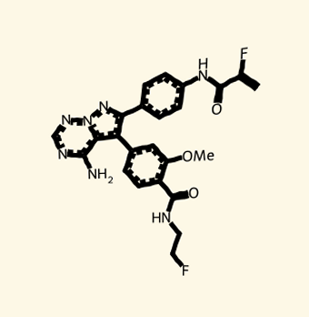 C=C(F)C(=O)Nc1ccc(-c2nn3ncnc(N)c3c2-c2ccc(C(=O)NCCF)c(OC)c2)cc1